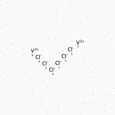 [Cl-].[Cl-].[Cl-].[Cl-].[Cl-].[Cl-].[V+3].[V+3]